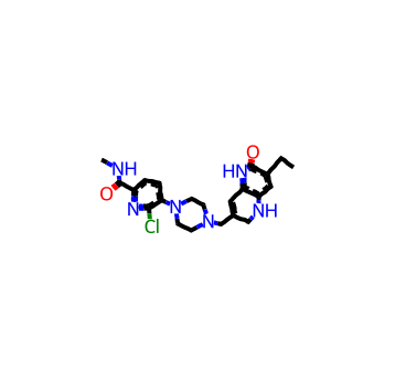 CCc1cc2c([nH]c1=O)C=C(CN1CCN(c3ccc(C(=O)NC)nc3Cl)CC1)CN2